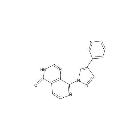 O=c1[nH]cnc2c(-n3cc(-c4cccnc4)cn3)nccc12